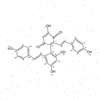 O=C1C=C(O)C(=O)C(/C=C/c2ccc(O)cc2)=C1c1c(O)cc(O)cc1/C=C/c1ccc(O)cc1